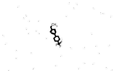 CCc1ccc(C2CCC(C(F)(F)F)CC2)cc1